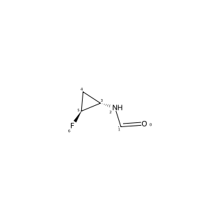 O=[C]N[C@H]1C[C@@H]1F